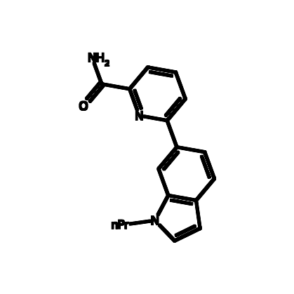 CCCn1ccc2ccc(-c3cccc(C(N)=O)n3)cc21